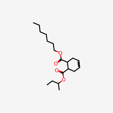 CCCCCCCOC(=O)C1CC=CCC1C(=O)OC(C)CC